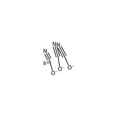 N#C[O-].N#C[O-].N#C[O-].[Ir+3]